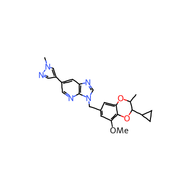 COc1cc(Cn2cnc3cc(-c4cnn(C)c4)cnc32)cc2c1OC(C1CC1)C(C)O2